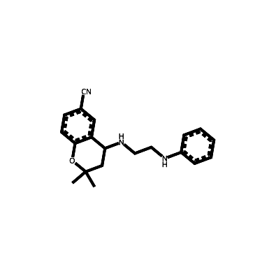 CC1(C)CC(NCCNc2ccccc2)c2cc(C#N)ccc2O1